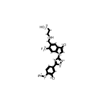 CC(C)Oc1ccc(-c2nc(-n3cc(Cl)c4cc(CNCCC(=O)O)c(C(F)(F)F)cc43)no2)cc1Cl